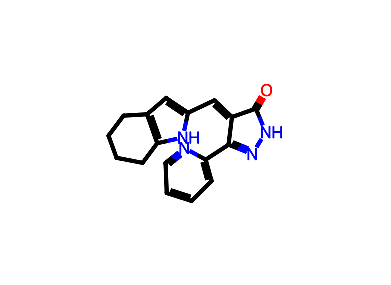 O=C1NN=C(c2ccccn2)/C1=C\c1cc2c([nH]1)CCCC2